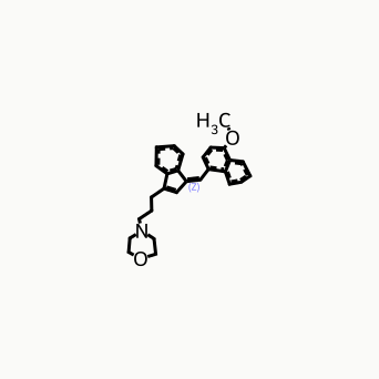 COc1ccc(/C=C2/C=C(CCCN3CCOCC3)c3ccccc32)c2ccccc12